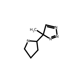 CC1(C2CCC[N]2)C=NN=N1